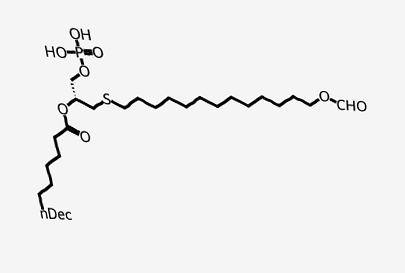 CCCCCCCCCCCCCCCC(=O)O[C@H](COP(=O)(O)O)CSCCCCCCCCCCCCCOC=O